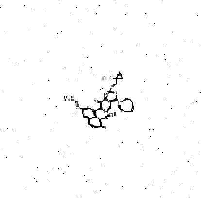 C#Cc1c(F)ccc2cc(OCOC)cc(-c3ncc4c(N5CCCCCC5)nc(OCC5(C=O)CC5)nc4c3F)c12